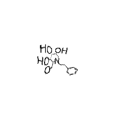 O=CC1C(O)C(O)C(O)CN1CCc1ccccc1